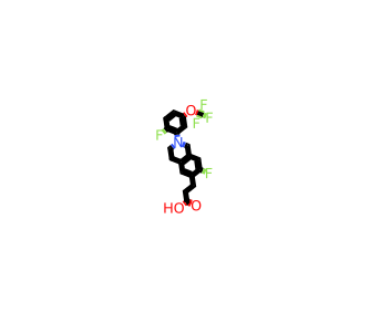 O=C(O)CCc1cc2c(cc1F)CN(c1cc(OC(F)(F)F)ccc1F)CC2